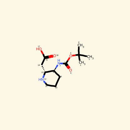 CC(C)(C)OC(=O)N[C@H]1CCCN[C@@H]1CC(=O)O